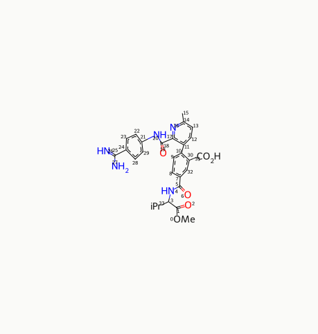 COC(=O)C(NC(=O)c1ccc(-c2ccc(C)nc2C(=O)Nc2ccc(C(=N)N)cc2)c(C(=O)O)c1)C(C)C